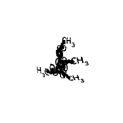 CCCCOc1c(-c2ccc(OC(=O)CCC)cc2)oc2cc(OC(=O)CCC)cc(OC(=O)CCC)c2c1=O